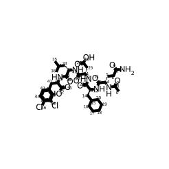 CC(=O)N[C@@H](CCC(N)=O)C(=O)N[C@@H](CC1CCCCC1)C(=O)N[C@@H](CC(=O)O)C(=O)N[C@@H](CC(C)C)C(=O)NC(Cc1ccc(Cl)c(Cl)c1)C(=O)O